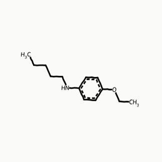 CCCCCNc1ccc(OCC)cc1